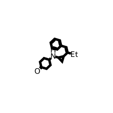 CCC(=Cc1ccccc1)C1CC1NC1CCC(=O)CC1